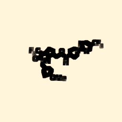 COc1ccc(Cn2nc3c(c(C(F)(F)F)c2=O)CCC3CC(=O)NC2CCN(c3ncc(C(F)(F)F)cn3)CC2)cc1